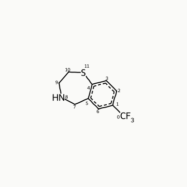 FC(F)(F)c1ccc2c(c1)CNCCS2